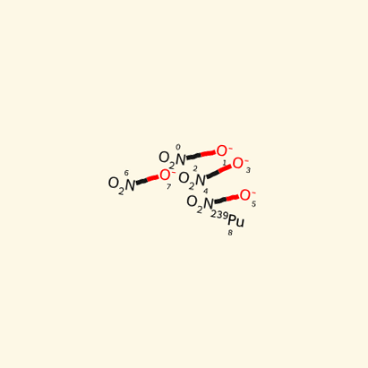 O=[N+]([O-])[O-].O=[N+]([O-])[O-].O=[N+]([O-])[O-].O=[N+]([O-])[O-].[239Pu]